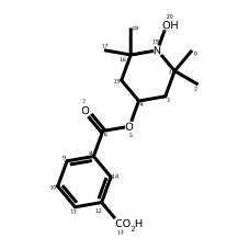 CC1(C)CC(OC(=O)c2cccc(C(=O)O)c2)CC(C)(C)N1O